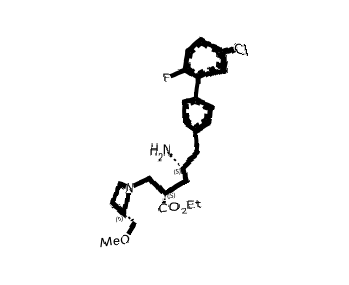 CCOC(=O)[C@@H](C[C@H](N)Cc1ccc(-c2cc(Cl)ccc2F)cc1)CN1CC[C@H]1COC